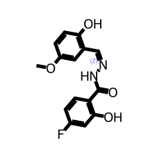 COc1ccc(O)c(/C=N\NC(=O)c2ccc(F)cc2O)c1